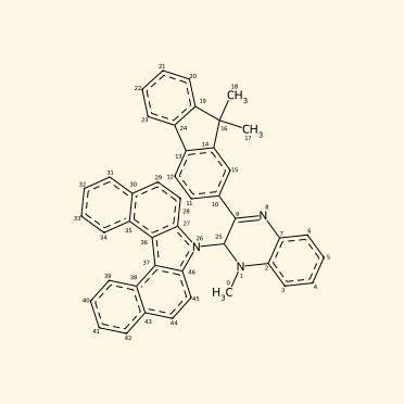 CN1c2ccccc2N=C(c2ccc3c(c2)C(C)(C)c2ccccc2-3)C1n1c2ccc3ccccc3c2c2c3ccccc3ccc21